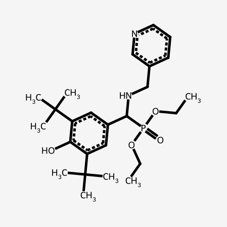 CCOP(=O)(OCC)C(NCc1cccnc1)c1cc(C(C)(C)C)c(O)c(C(C)(C)C)c1